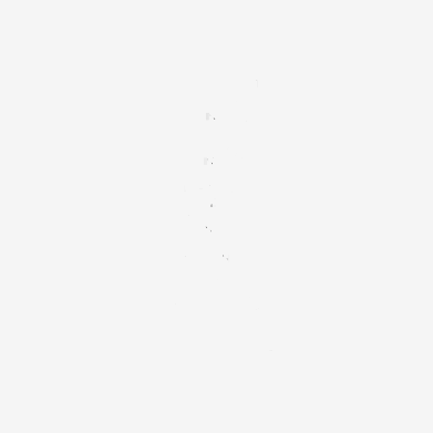 Cc1[nH]c(C(=O)NC2[C@H]3CN(c4nc(-c5ccc(C(C)(C)C)cc5)c(C(=O)O)s4)C[C@@H]23)c(Cl)c1Cl.[LiH]